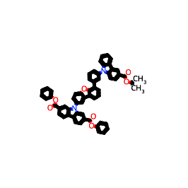 CC(C)OC(=O)c1ccc2c(c1)c1ccccc1n2-c1cccc(-c2cccc3c2oc2ccc(-n4c5cc(C(=O)Oc6ccccc6)ccc5c5ccc(C(=O)Oc6ccccc6)cc54)cc23)c1